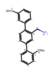 COc1[c]ccc(-c2ccc(-c3ccccc3OC)cc2CN)c1